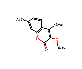 CCCCCCCCCCOc1c(OC)c2ccc(OC(C)=O)cc2oc1=O